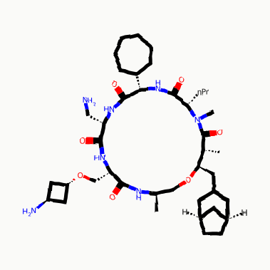 CCC[C@H]1C(=O)N[C@@H](C2CCCCCC2)C(=O)N[C@@H](CN)C(=O)N[C@@H](CO[C@H]2C[C@H](N)C2)C(=O)N[C@H](C)CO[C@H](CC2C[C@H]3CC[C@@H](C2)C3)[C@@H](C)C(=O)N1C